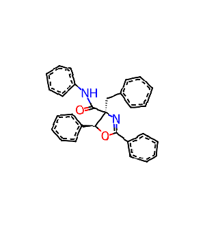 O=C(Nc1ccccc1)[C@@]1(Cc2ccccc2)N=C(c2ccccc2)O[C@H]1c1ccccc1